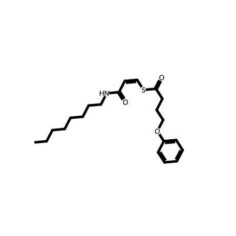 CCCCCCCCNC(=O)/C=C\SC(=O)CCCOc1ccccc1